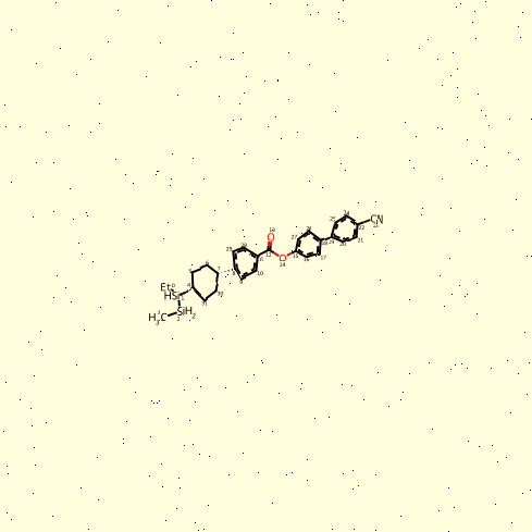 CC[SiH]([SiH2]C)[C@H]1CC[C@H](c2ccc(C(=O)Oc3ccc(-c4ccc(C#N)cc4)cc3)cc2)CC1